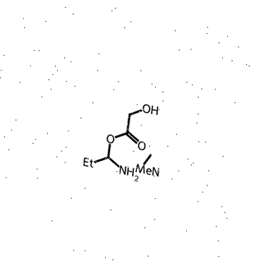 CCC(N)OC(=O)CO.CNC